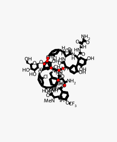 CN[C@H](CC(C)C)C(=O)N[C@H]1C(=O)N[C@@H](CC(N)=O)C(=O)N[C@H]2C(=O)N[C@H]3C(=O)N[C@H](C(=O)N[C@@H](C(=O)NNC(=O)C(N)=O)c4cc(O)cc(O)c4-c4cc3ccc4O)[C@H](O)c3ccc(c(Cl)c3)Oc3cc2cc(c3O[C@@H]2O[C@H](CO)[C@@H](O)[C@H](O)[C@H]2O[C@H]2C[C@](C)(NCc3ccc(NC(=O)c4ccc(OC(F)(F)F)cc4)cc3)[C@H](O)[C@H](C)O2)Oc2ccc(cc2Cl)[C@H]1O